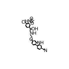 CS(=O)(=O)Nc1cc([C@H](O)CNCCOc2ccc3c(c2)[nH]c2cc(C#N)ccc23)ccc1Cl